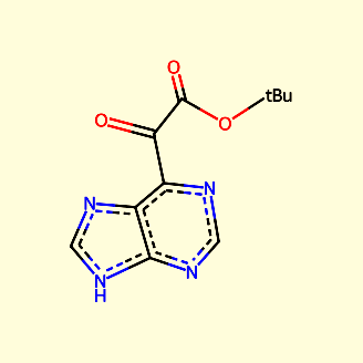 CC(C)(C)OC(=O)C(=O)c1ncnc2[nH]cnc12